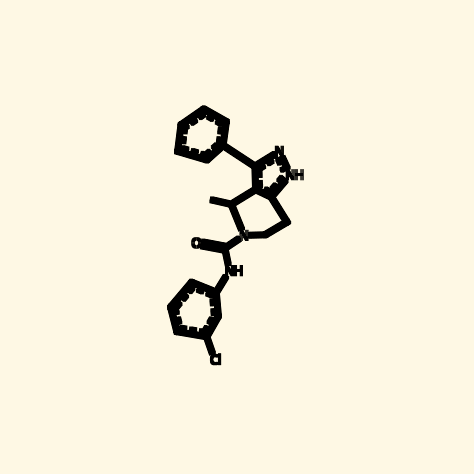 CC1c2c(-c3ccccc3)n[nH]c2CCN1C(=O)Nc1cccc(Cl)c1